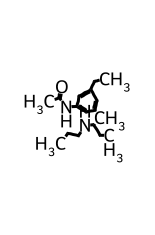 CCCNC(C)CC.CCc1cccc(NC(C)=O)c1